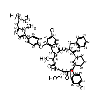 C[C@H]1C(=O)N[C@@H](CO)C(=O)N[C@@]2(Cc3ccc(Cl)cc3)CCCN(C2)C(=O)[C@H](Cc2ccccc2)OC(=O)N1Cc1ccc(Cl)cc1Oc1ccc(-c2cnc(CN(C)C)n2C)cc1